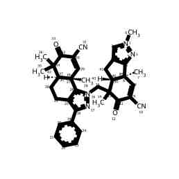 Cn1cc2c(n1)[C@@]1(C)C=C(C#N)C(=O)C(C)(Cn3nc(-c4ccccc4)c4c3[C@@]3(C)C=C(C#N)C(=O)C(C)(C)[C@@H]3CC4)[C@@H]1C2